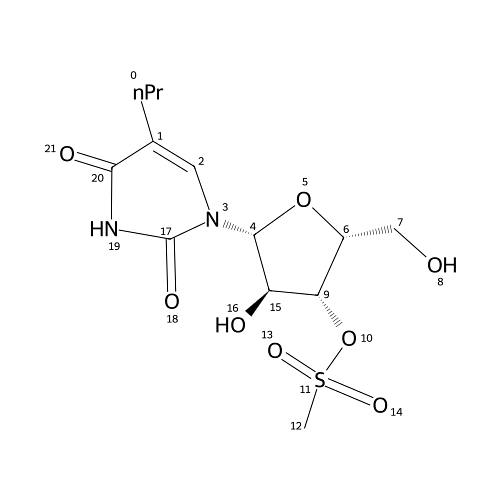 CCCc1cn([C@@H]2O[C@H](CO)[C@H](OS(C)(=O)=O)[C@H]2O)c(=O)[nH]c1=O